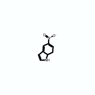 O=[N+]([O-])C1=CCC2NC=CC2=C1